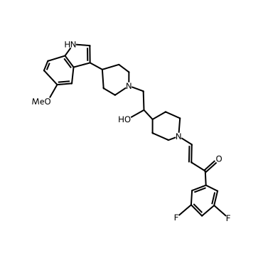 COc1ccc2[nH]cc(C3CCN(CC(O)C4CCN(C=CC(=O)c5cc(F)cc(F)c5)CC4)CC3)c2c1